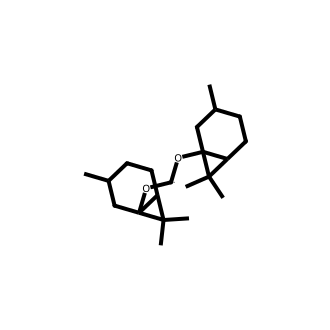 CC1CCC2C(C)(C)C2(O[CH]OC23CC(C)CCC2C3(C)C)C1